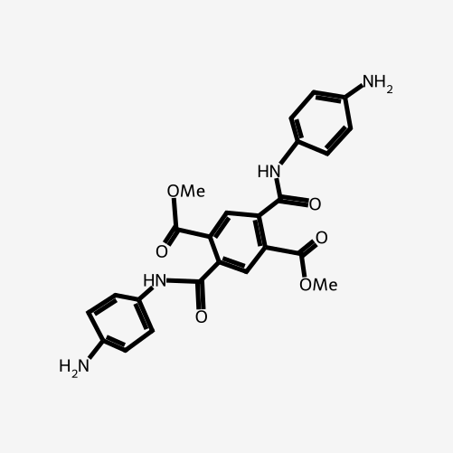 COC(=O)c1cc(C(=O)Nc2ccc(N)cc2)c(C(=O)OC)cc1C(=O)Nc1ccc(N)cc1